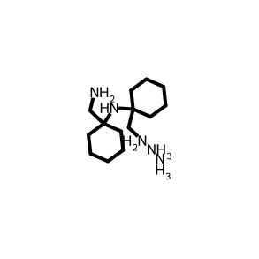 N.N.NCC1(NC2(CN)CCCCC2)CCCCC1